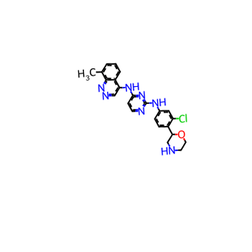 Cc1cccc2c(Nc3ccnc(Nc4ccc(C5CNCCO5)c(Cl)c4)n3)cnnc12